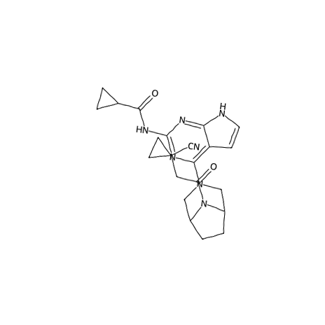 N#CC1(CC(=O)N2C3CCC2CN(c2nc(NC(=O)C4CC4)nc4[nH]ccc24)C3)CC1